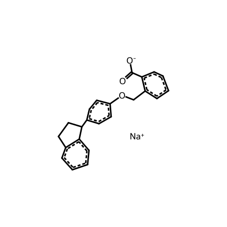 O=C([O-])c1ccccc1COc1ccc(C2CCc3ccccc32)cc1.[Na+]